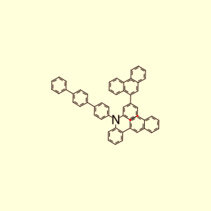 c1ccc(-c2ccc(-c3ccc(N(c4cccc(-c5cc6ccccc6c6ccccc56)c4)c4ccccc4-c4ccc5ccccc5c4)cc3)cc2)cc1